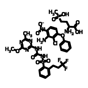 COc1nc(C)nc(NC(=O)NS(=O)(=O)c2ccccc2CCC(F)(F)F)n1.CP(=O)(O)CCC(N)C(=O)O.Nc1c([N+](=O)[O-])ccc(Oc2ccccc2)c1Cl